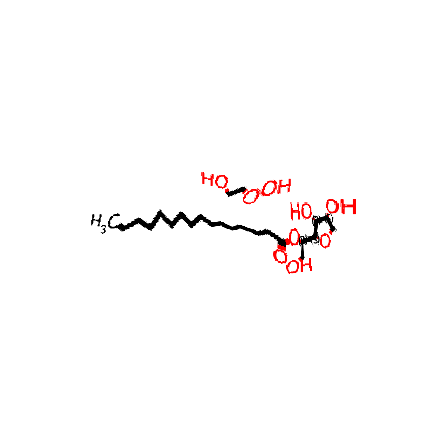 CCCCCCCCCCCCCCCC(=O)O[C@H](CO)[C@H]1OC[C@H](O)[C@H]1O.OCCOO